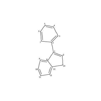 [C]1=C(c2ccccc2)c2ccccc2C1